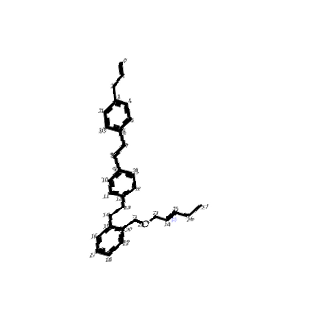 C=CCc1ccc(CCc2ccc(CCc3ccccc3COC/C=C/CC)cc2)cc1